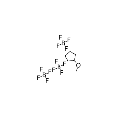 COC1CCCC1.F[B-](F)(F)F.F[B-](F)(F)F.F[B-](F)(F)F